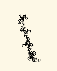 C[C@H]1CC(=O)N(CCCCCC(=O)NCCOCCOCCNC(=O)CCCCCN2C(=O)CC(C(C)(C)C)C2=O)C1=O